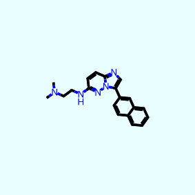 CN(C)CCNc1ccc2ncc(-c3ccc4ccccc4c3)n2n1